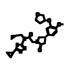 COc1ccc([C@@H]2CC(=O)N(CC(=O)N(CC3CC3)c3nnc(C4CC4)s3)C2)cc1O[C@@H]1CCOC1